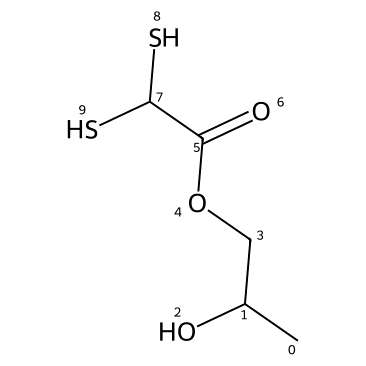 CC(O)COC(=O)C(S)S